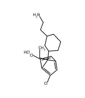 CCC1(C2CCCC(CCN)C2)C2=CC(Cl)=C1C(Cl)=C2.Cl